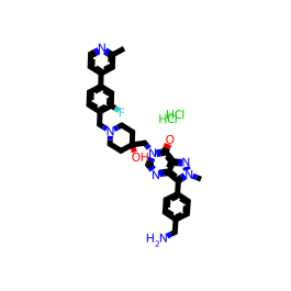 Cc1cc(-c2ccc(CN3CCC(O)(Cn4cnc5c(-c6ccc(CN)cc6)n(C)nc5c4=O)CC3)c(F)c2)ccn1.Cl.Cl